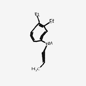 CC=CNc1ccc(CC)c(CC)c1